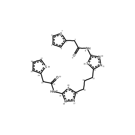 O=C(Cc1cccs1)Nc1nnc(CCCc2nnc(NC(=O)Cc3cccs3)s2)s1